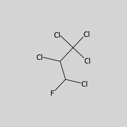 FC(Cl)C(Cl)C(Cl)(Cl)Cl